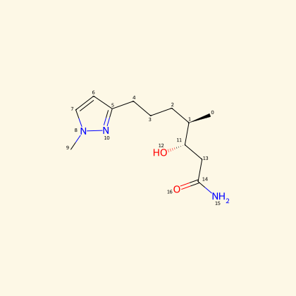 C[C@H](CCCc1ccn(C)n1)[C@@H](O)CC(N)=O